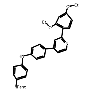 CCCCCc1ccc(Nc2ccc(-c3ccnc(-c4ccc(OCC)cc4OCC)c3)cc2)cc1